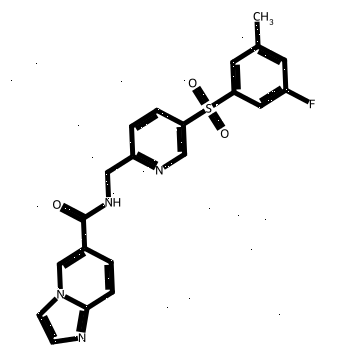 Cc1cc(F)cc(S(=O)(=O)c2ccc(CNC(=O)c3ccc4nccn4c3)nc2)c1